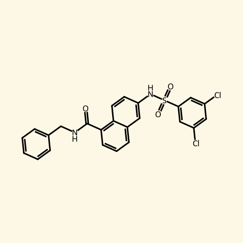 O=C(NCc1ccccc1)c1cccc2cc(NS(=O)(=O)c3cc(Cl)cc(Cl)c3)ccc12